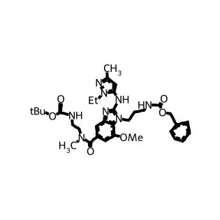 CCn1nc(C)cc1Nc1nc2cc(C(=O)N(C)CCNC(=O)OC(C)(C)C)cc(OC)c2n1CCCNC(=O)OCc1ccccc1